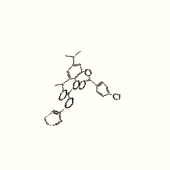 CC(C)c1cc(OC(=O)c2ccc(Cl)cc2)c(OC(=O)Oc2ccccc2)c(C(C)C)c1